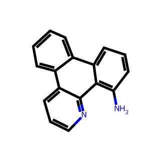 Nc1cccc2c3ccccc3c3cccnc3c12